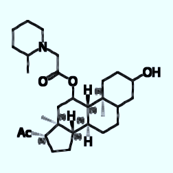 CC(=O)[C@H]1CC[C@H]2[C@@H]3CCC4CC(O)CC[C@]4(C)[C@H]3C(OC(=O)CN3CCCCC3C)C[C@]12C